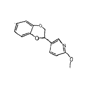 COc1ccc(C2COc3c[c]ccc3O2)cn1